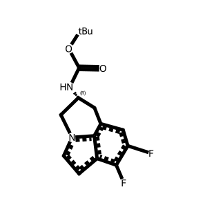 CC(C)(C)OC(=O)N[C@@H]1Cc2cc(F)c(F)c3ccn(c23)C1